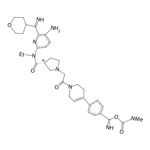 CCN(C(=O)[C@@H]1CCN(CC(=O)N2CC=C(c3ccc(C(=N)OC(=O)NC)cc3)CC2)C1)c1ccc(N)c(C(=N)C2CCOCC2)n1